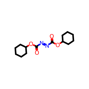 O=C(N=NC(=O)OC1CCCCC1)OC1CCCCC1